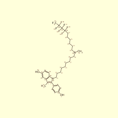 Cc1c(-c2ccc(O)cc2)n(CCCCCCCCCN(C)CCCCCCC(F)(F)C(F)(F)C(F)(F)C(F)(F)F)c2ccc(O)cc12